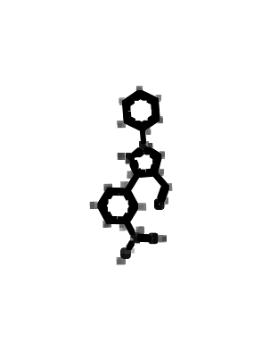 O=Cc1cn(-c2ccccc2)nc1-c1cccc([N+](=O)[O-])c1